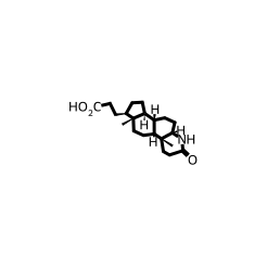 C[C@]12CCC(=O)N[C@@H]1CC[C@@H]1[C@@H]2CC[C@]2(C)[C@@H](CCC(=O)O)CC[C@@H]12